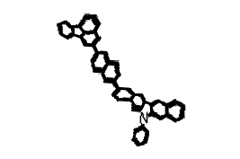 c1ccc(-n2c3cc4ccccc4cc3c3cc4cc(-c5ccc6cc(-c7cc8c9c(cccc9c7)-c7ccccc7-8)ccc6c5)ccc4cc32)cc1